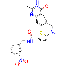 Cc1nc2ccc(CN(C)c3ccc(C(=O)NCc4cccc([N+](=O)[O-])c4)s3)cc2c(=O)[nH]1